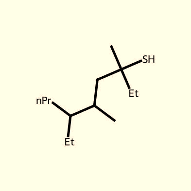 CCCC(CC)C(C)CC(C)(S)CC